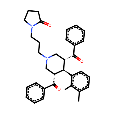 Cc1cccc([C@@H]2[C@@H](C(=O)c3ccccc3)CN(CCCN3CCCC3=O)C[C@H]2C(=O)c2ccccc2)c1C